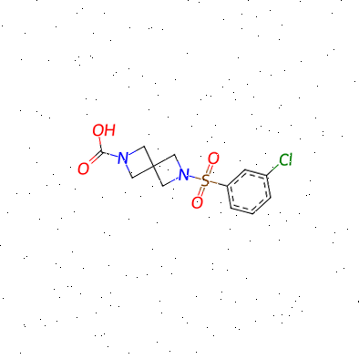 O=C(O)N1CC2(C1)CN(S(=O)(=O)c1cccc(Cl)c1)C2